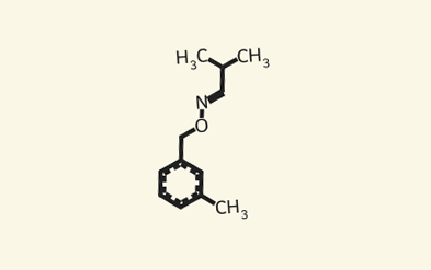 Cc1cccc(CON=CC(C)C)c1